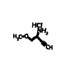 C#CC(N)COC.Cl